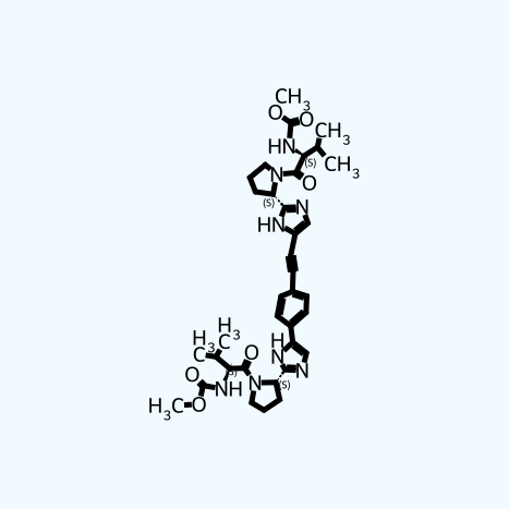 COC(=O)N[C@H](C(=O)N1CCC[C@H]1c1ncc(C#Cc2ccc(-c3cnc([C@@H]4CCCN4C(=O)[C@@H](NC(=O)OC)C(C)C)[nH]3)cc2)[nH]1)C(C)C